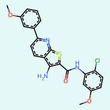 COc1cccc(-c2ccc3c(N)c(C(=O)Nc4cc(OC)ccc4Cl)sc3n2)c1